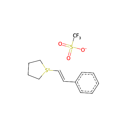 C(=C[S+]1CCCC1)c1ccccc1.O=S(=O)([O-])C(F)(F)F